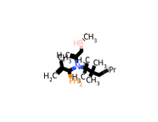 C=C(C)C(P)N(C(=C)CBC)C(C)(C)C(C)(C)CC(C)C